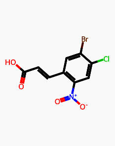 O=C(O)C=Cc1cc(Br)c(Cl)cc1[N+](=O)[O-]